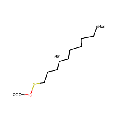 CCCCCCCCCCCCCCCCCCSOC(=O)[O-].[Na+]